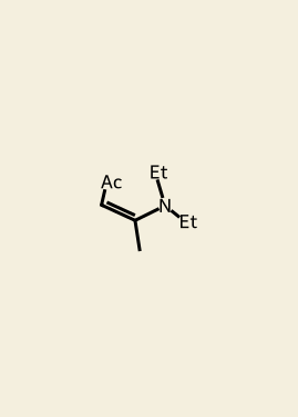 CCN(CC)/C(C)=C\C(C)=O